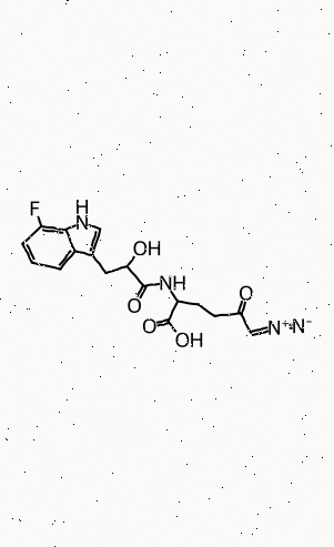 [N-]=[N+]=CC(=O)CCC(NC(=O)C(O)Cc1c[nH]c2c(F)cccc12)C(=O)O